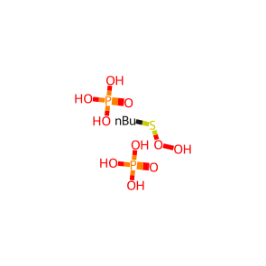 CCCCSOO.O=P(O)(O)O.O=P(O)(O)O